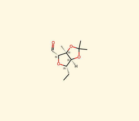 CC[C@@H]1O[C@H](C=O)[C@@]2(C)OC(C)(C)O[C@@H]12